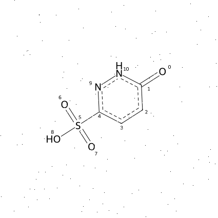 O=c1ccc(S(=O)(=O)O)n[nH]1